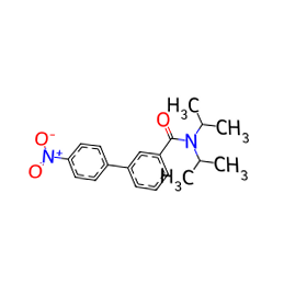 CC(C)N(C(=O)c1cccc(-c2ccc([N+](=O)[O-])cc2)c1)C(C)C